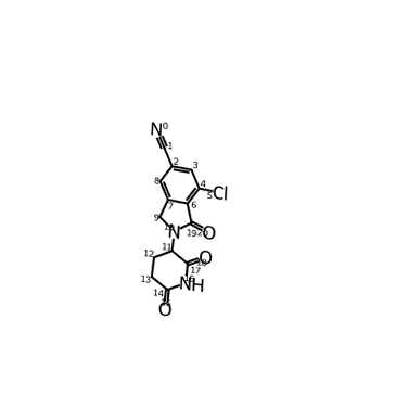 N#Cc1cc(Cl)c2c(c1)CN(C1CCC(=O)NC1=O)C2=O